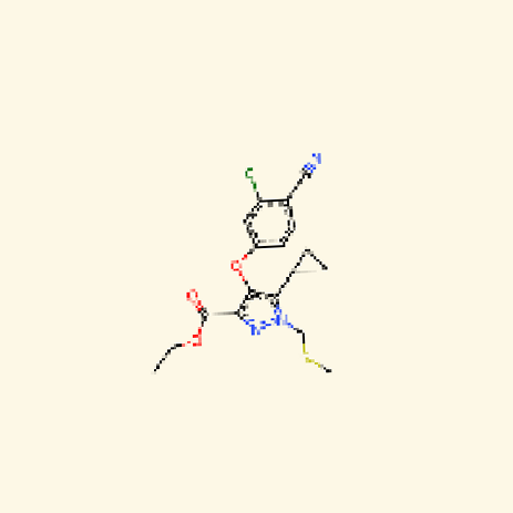 CCOC(=O)c1nn(CSC)c(C2CC2)c1Oc1ccc(C#N)c(Cl)c1